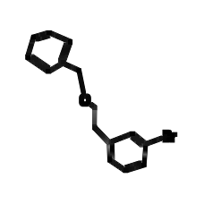 Brc1cccc(CCOCc2ccccc2)c1